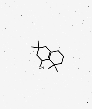 CC1(C)CC2=C(C(O)C1)C(C)(C)CCC2